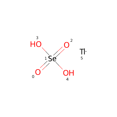 O=[Se](=O)(O)O.[Tl]